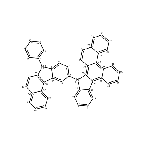 c1ccc(-n2c3ccc(-n4c5ccccc5c5c6ccccc6c6c7ccccc7ccc6c54)cc3c3c4ccccc4ccc32)cc1